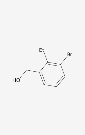 CCc1c(Br)cccc1[CH]O